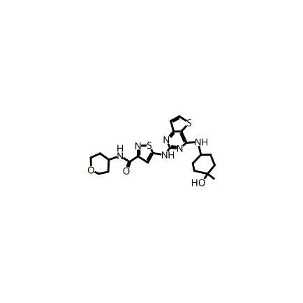 CC1(O)CCC(Nc2nc(Nc3cc(C(=O)NC4CCOCC4)ns3)nc3ccsc23)CC1